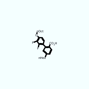 CCCCCCCCOc1ccc(-c2cc(CCCCCC)ccc2C(=O)O)c(F)c1F